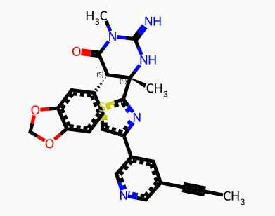 CC#Cc1cncc(-c2csc([C@@]3(C)NC(=N)N(C)C(=O)[C@H]3c3ccc4c(c3)OCO4)n2)c1